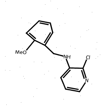 COc1ccccc1CNc1cccnc1Cl